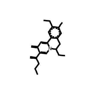 C=C1C=C2c3cc(CC)c(C)cc3CC(CC)N2C=C1C(=C)CCC